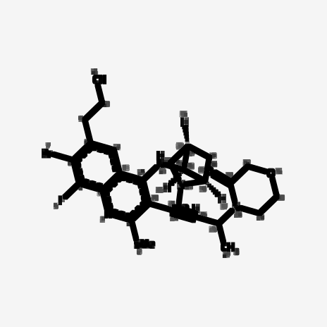 CSc1nc2c(F)c(Br)c(CCC#N)cc2c(N[C@H]2[C@@H]3C[C@H]2N(C(=O)O)C3)c1C#CC(C)N1CCOCC1=O